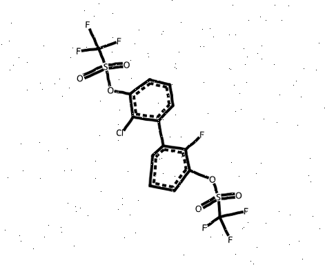 O=S(=O)(Oc1cccc(-c2cccc(OS(=O)(=O)C(F)(F)F)c2Cl)c1F)C(F)(F)F